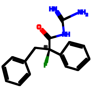 N=C(N)NC(=O)[C@@](F)(Cc1ccccc1)c1ccccc1